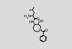 CC(C)CC(N)C(=O)NC1CCCN(C(=O)c2ccccc2)C[C@@H]1O